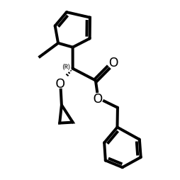 CC1C=CC=CC1[C@@H](OC1CC1)C(=O)OCc1ccccc1